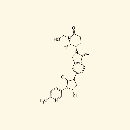 CC1CN(c2ccc3c(c2)CN(C2CCC(=O)N(CO)C2=O)C3=O)C(=O)N1c1ccc(C(F)(F)F)nc1